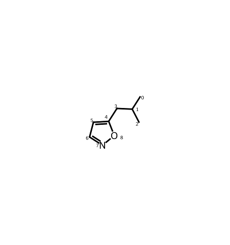 CC(C)Cc1ccno1